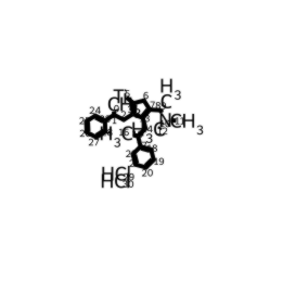 CC(CC1=[C]([Ti])CC(C(C)N(C)C)=C1CC(C)c1ccccc1)c1ccccc1.Cl.Cl